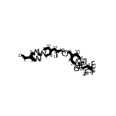 CCc1cnc(N2CCC(C[C@@H](I)COCC3CCN(S(=O)(=O)CCC(F)(F)F)CC3)CC2)nc1